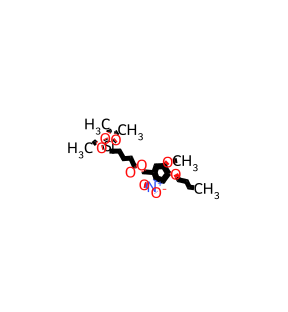 CCCCOc1cc([N+](=O)[O-])c(COC(=O)CCCC[Si](OCC)(OCC)OCC)cc1OC